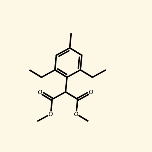 CCc1cc(C)cc(CC)c1C(C(=O)OC)C(=O)OC